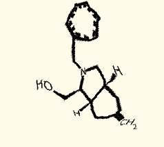 C=C1C[C@H]2CN(Cc3ccccc3)[C@H](CO)[C@H]2C1